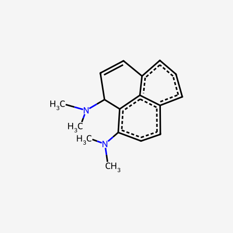 CN(C)c1ccc2cccc3c2c1C(N(C)C)C=C3